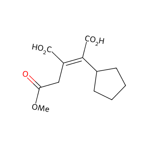 COC(=O)CC(C(=O)O)=C(C(=O)O)C1CCCC1